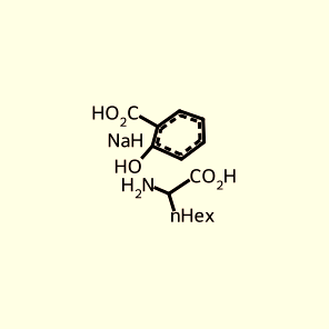 CCCCCCC(N)C(=O)O.O=C(O)c1ccccc1O.[NaH]